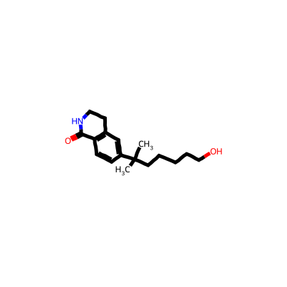 CC(C)(CCCCCO)c1ccc2c(c1)CCNC2=O